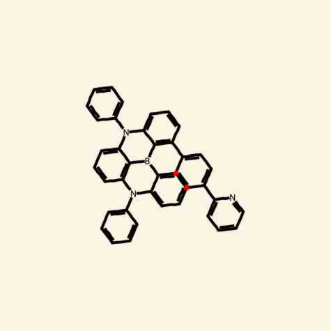 c1ccc(N2c3ccccc3B3c4c(-c5ccc(-c6ccccn6)cc5)cccc4N(c4ccccc4)c4cccc2c43)cc1